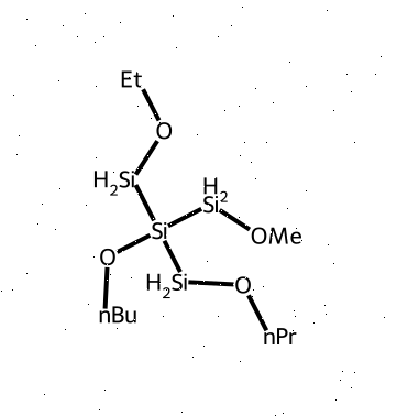 CCCCO[Si]([SiH2]OC)([SiH2]OCC)[SiH2]OCCC